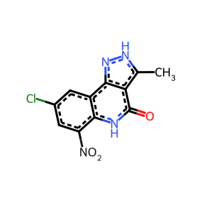 Cc1[nH]nc2c1c(=O)[nH]c1c([N+](=O)[O-])cc(Cl)cc12